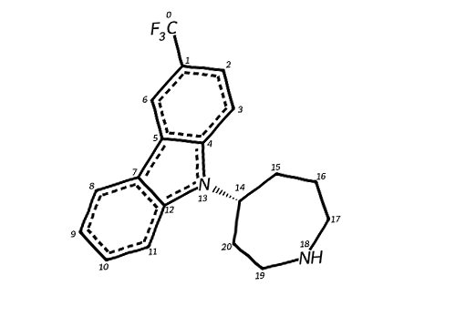 FC(F)(F)c1ccc2c(c1)c1ccccc1n2[C@@H]1CCCNCC1